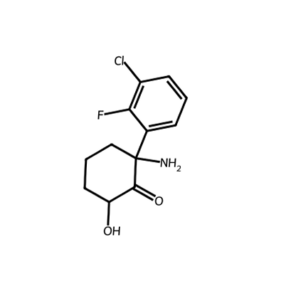 NC1(c2cccc(Cl)c2F)CCCC(O)C1=O